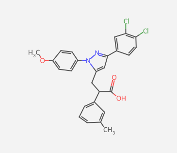 COc1ccc(-n2nc(-c3ccc(Cl)c(Cl)c3)cc2CC(C(=O)O)c2cccc(C)c2)cc1